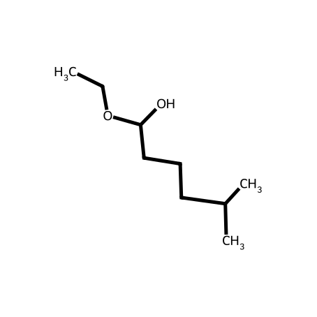 CCOC(O)CCCC(C)C